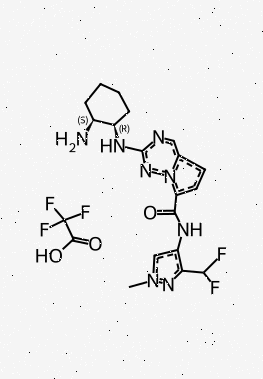 Cn1cc(NC(=O)c2ccc3cnc(N[C@@H]4CCCC[C@@H]4N)nn23)c(C(F)F)n1.O=C(O)C(F)(F)F